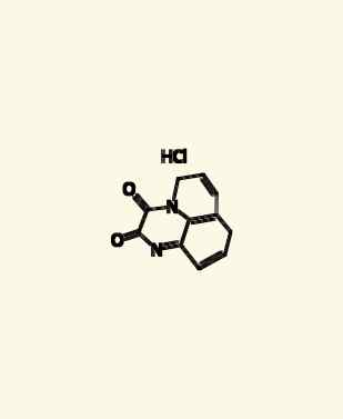 Cl.O=C1N=C2C=CCC3=C2N(CC=C3)C1=O